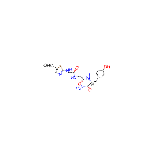 NC(=O)[C@H](Cc1ccc(O)cc1)NC(=O)CNC(=O)CNc1ncc(C=O)s1